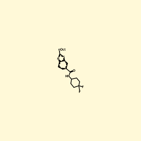 CCCCCCCCc1nc2ccc(C(=O)NC3CCC(F)(F)CC3)cc2s1